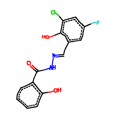 O=C(NN=Cc1cc(F)cc(Cl)c1O)c1ccccc1O